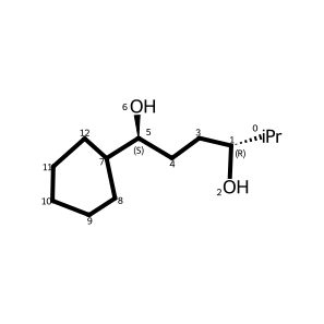 CC(C)[C@H](O)CC[C@H](O)C1CCCCC1